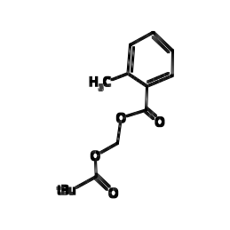 Cc1ccccc1C(=O)OCOC(=O)C(C)(C)C